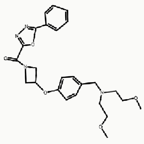 COCCN(CCOC)Cc1ccc(OC2CN(C(=O)c3nnc(-c4ccccc4)o3)C2)cc1